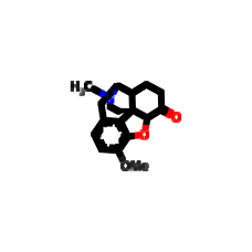 COc1ccc2c3c1OC1C(=O)CCC4C(C2)N(C)CC[C@]314